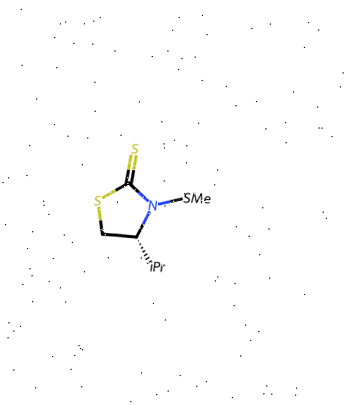 CSN1C(=S)SC[C@H]1C(C)C